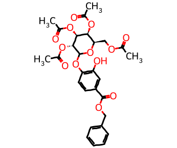 CC(=O)OC[C@H]1OC(Oc2ccc(C(=O)OCc3ccccc3)cc2O)[C@H](OC(C)=O)[C@@H](OC(C)=O)[C@H]1OC(C)=O